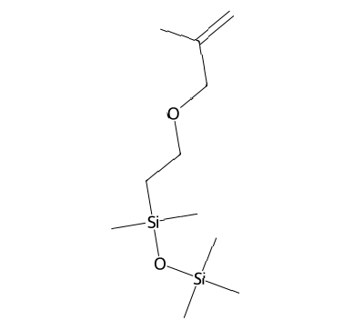 C=C(C)COCC[Si](C)(C)O[Si](C)(C)C